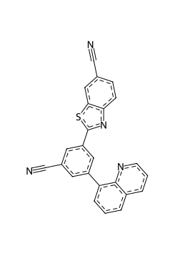 N#Cc1cc(-c2nc3ccc(C#N)cc3s2)cc(-c2cccc3cccnc23)c1